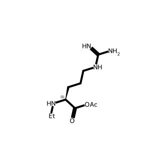 CCN[C@@H](CCCNC(=N)N)C(=O)OC(C)=O